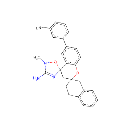 [C-]#[N+]c1cccc(-c2ccc3c(c2)C2(CC4(CCc5ccccc5C4)O3)N=C(N)N(C)O2)c1